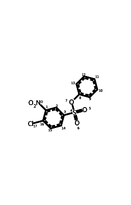 O=[N+]([O-])c1cc(S(=O)(=O)Oc2ccccc2)ccc1Cl